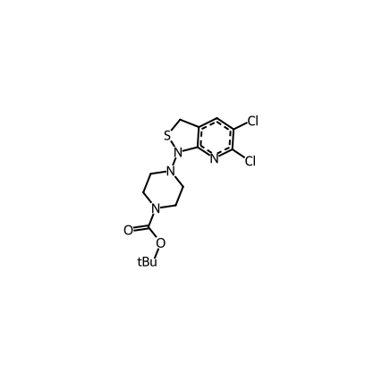 CC(C)(C)OC(=O)N1CCN(N2SCc3cc(Cl)c(Cl)nc32)CC1